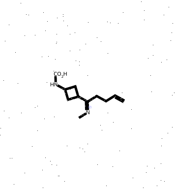 C=CCC/C(=N/C)C1CC(NC(=O)O)C1